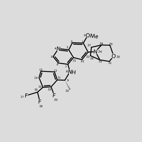 COc1cc2nccc(N[C@H](C)c3cccc(C(F)F)c3F)c2cc1N1C2CCC1COC2